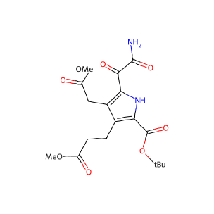 COC(=O)CCc1c(C(=O)OC(C)(C)C)[nH]c(C(=O)C(N)=O)c1CC(=O)OC